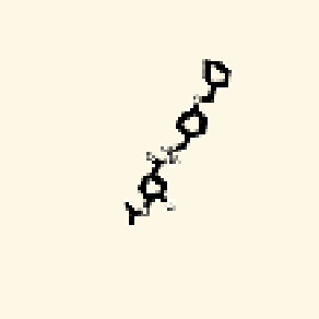 CC(C)Oc1ccc(C(=O)NNCc2ccc(OCc3ccccc3)cc2)cc1Cl